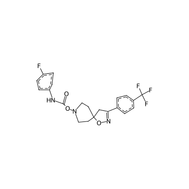 O=C(Nc1ccc(F)cc1)ON1CCC2(CC1)CC(c1ccc(C(F)(F)F)cc1)=NO2